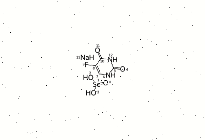 O=[Se](O)O.O=c1[nH]cc(F)c(=O)[nH]1.[NaH]